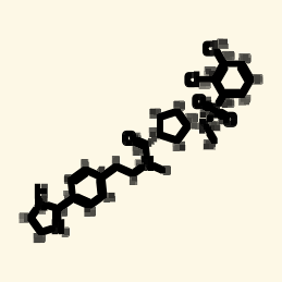 CN(CCc1ccc(C2=NCCN2)cc1)C(=O)[C@@H]1CC[C@H](N(C)S(=O)(=O)c2cccc(Cl)c2Cl)C1